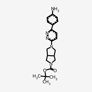 CC(C)(C)OC(=O)N1CC2CN(c3ccc(-c4ccc(N)cc4)nn3)CC2C1